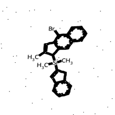 CC1=Cc2c(cc3ccccc3c2Br)C1[Si](C)(C)C1=Cc2ccccc2C1